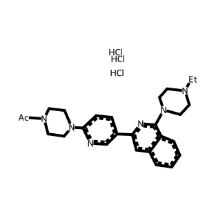 CCN1CCN(c2nc(-c3ccc(N4CCN(C(C)=O)CC4)nc3)cc3ccccc23)CC1.Cl.Cl.Cl